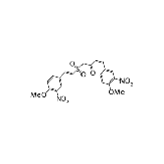 COc1ccc(/C=C\C(=O)CS(=O)(=O)/C=C/c2ccc(OC)c([N+](=O)[O-])c2)cc1[N+](=O)[O-]